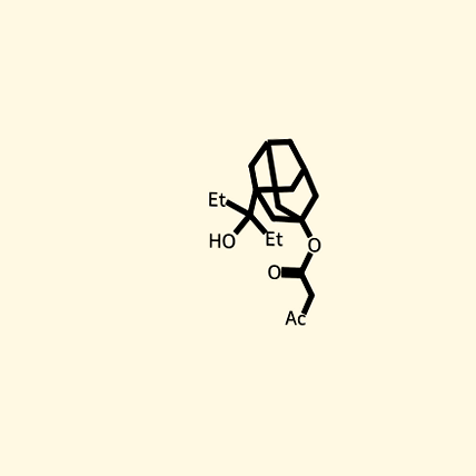 CCC(O)(CC)C12CC3CC(CC(OC(=O)CC(C)=O)(C3)C1)C2